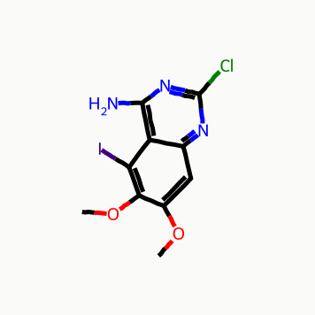 COc1cc2nc(Cl)nc(N)c2c(I)c1OC